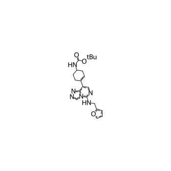 CC(C)(C)OC(=O)NC1CC=C(c2cnc(NCc3ccco3)n3cnnc23)CC1